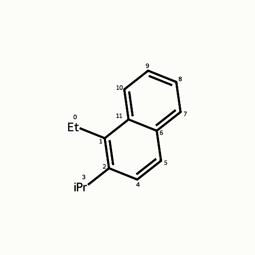 CCc1c(C(C)C)ccc2ccccc12